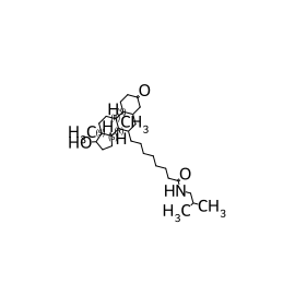 CC(C)CNC(=O)CCCCCCCC1CC2CC(=O)CC[C@]2(C)[C@@H]2CC[C@]3(C)C(O)CC[C@H]3[C@H]12